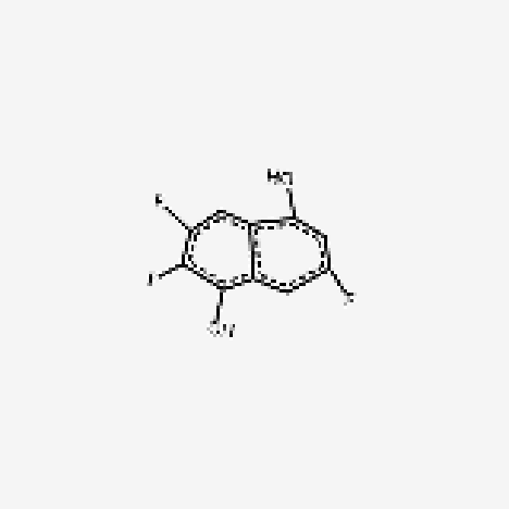 Oc1cc(F)cc2c(O)c(F)c(F)cc12